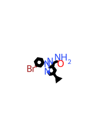 NC(=O)c1nn(-c2cccc(Br)c2)c2ncc(C3CC3)cc12